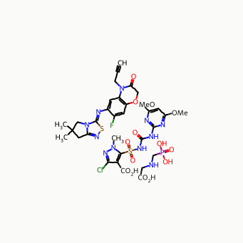 C#CCN1C(=O)COc2cc(F)c(/N=c3\snc4n3CC(C)(C)C4)cc21.COc1cc(OC)nc(NC(=O)NS(=O)(=O)c2c(C(=O)O)c(Cl)nn2C)n1.O=C(O)CNCP(=O)(O)O